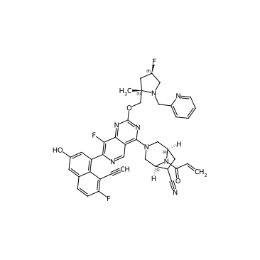 C#Cc1c(F)ccc2cc(O)cc(-c3ncc4c(N5C[C@H]6CC(C#N)[C@@H](C5)N6C(=O)C=C)nc(OC[C@]5(C)C[C@@H](F)CN5Cc5ccccn5)nc4c3F)c12